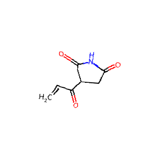 C=CC(=O)C1CC(=O)NC1=O